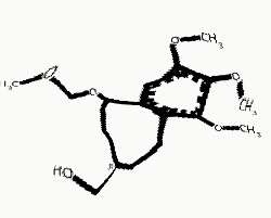 COCOC1C[C@H](CO)CCc2c1cc(OC)c(OC)c2OC